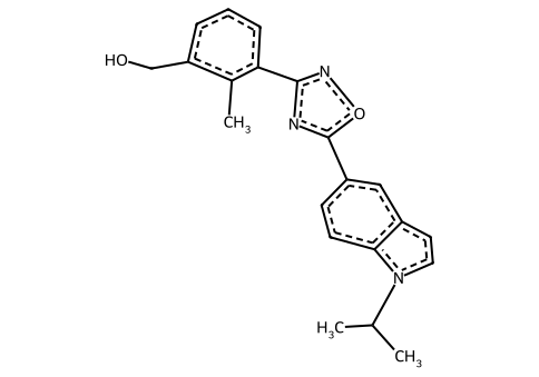 Cc1c(CO)cccc1-c1noc(-c2ccc3c(ccn3C(C)C)c2)n1